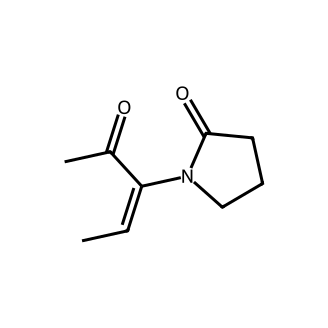 CC=C(C(C)=O)N1CCCC1=O